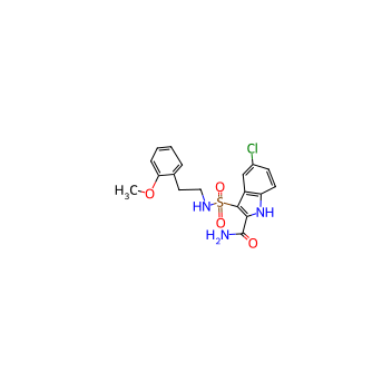 COc1ccccc1CCNS(=O)(=O)c1c(C(N)=O)[nH]c2ccc(Cl)cc12